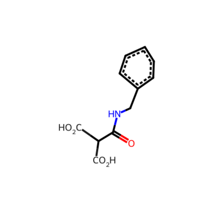 O=C(O)C(C(=O)O)C(=O)NCc1ccccc1